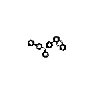 c1ccc(-c2ccc(N(c3ccccc3)c3ccc(-c4cccc5c4Sc4ccccc4S5)cc3)cc2)cc1